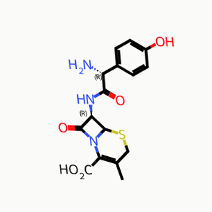 CC1=C(C(=O)O)N2C(=O)[C@@H](NC(=O)[C@H](N)c3ccc(O)cc3)C2SC1